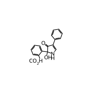 O=C(O)c1ccccc1C1(O)NC=C(c2ccccc2)C1=O